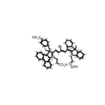 CC(/C=C(Br)/C=C/C1=[N+](CCC(=O)O)c2c(c3ccccc3c3ccccc23)C1(C)Cc1ccc(C(=O)O)cc1)=C1/N(CCOC=O)c2ccccc2C1(C)C1C=CCCC1